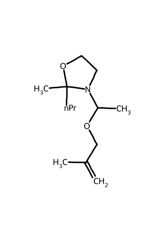 C=C(C)COC(C)N1CCOC1(C)CCC